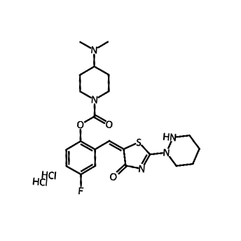 CN(C)C1CCN(C(=O)Oc2ccc(F)cc2C=C2SC(N3CCCCN3)=NC2=O)CC1.Cl.Cl